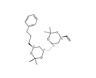 C=C[C@H]1C[C@H](C[C@H]2C[C@H](CCCc3ccccc3)OC(C)(C)O2)OC(C)(C)O1